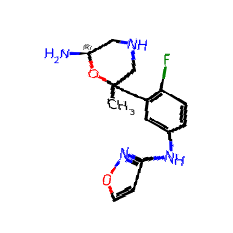 CC1(c2cc(Nc3ccon3)ccc2F)CNC[C@H](N)O1